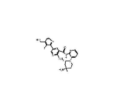 CC1(N)CCN(c2cccnc2NC(=O)c2nc(-c3nccc(CO)c3F)cnc2N)CC1